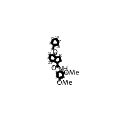 COc1ccc(NC(=O)C2CCc3c(OCc4ccccc4)cccc32)c(OC)c1